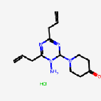 C=CCC1=NC(N2CCC(=O)CC2)N(N)C(CC=C)=N1.Cl